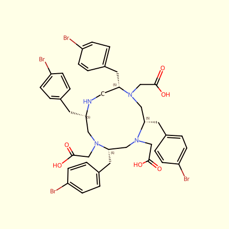 O=C(O)CN1C[C@H](Cc2ccc(Br)cc2)NC[C@H](Cc2ccc(Br)cc2)N(CC(=O)O)C[C@H](Cc2ccc(Br)cc2)N(CC(=O)O)C[C@@H]1Cc1ccc(Br)cc1